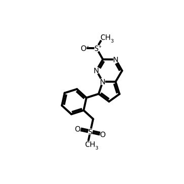 C[S+]([O-])c1ncc2ccc(-c3ccccc3CS(C)(=O)=O)n2n1